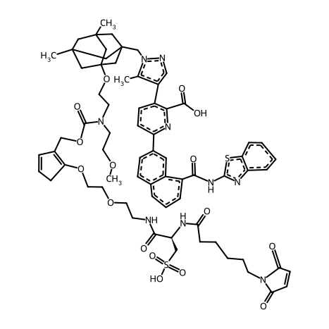 COCCN(CCOC12CC3(C)CC(C)(CC(Cn4ncc(-c5ccc(-c6ccc7cccc(C(=O)Nc8nc9ccccc9s8)c7c6)nc5C(=O)O)c4C)(C3)C1)C2)C(=O)OCC1=C(OCCOCCNC(=O)[C@H](CS(=O)(=O)O)NC(=O)CCCCCN2C(=O)C=CC2=O)CC=C1